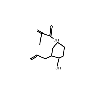 C=C(C)C(=O)O.C=CCC1CCCCC1O